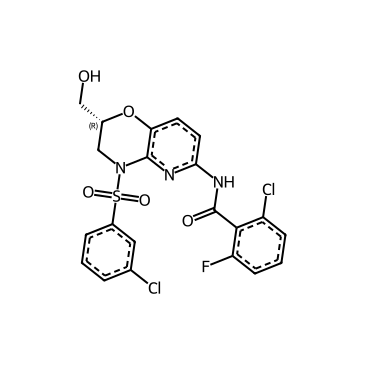 O=C(Nc1ccc2c(n1)N(S(=O)(=O)c1cccc(Cl)c1)C[C@H](CO)O2)c1c(F)cccc1Cl